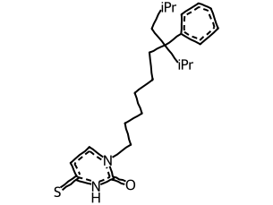 CC(C)CC(CCCCCCn1ccc(=S)[nH]c1=O)(c1ccccc1)C(C)C